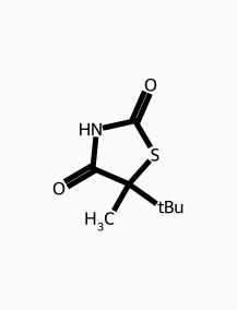 CC(C)(C)C1(C)SC(=O)NC1=O